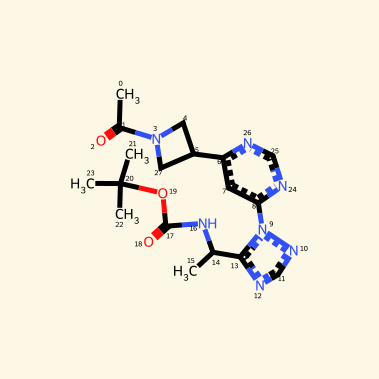 CC(=O)N1CC(c2cc(-n3ncnc3C(C)NC(=O)OC(C)(C)C)ncn2)C1